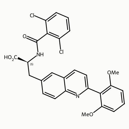 COc1cccc(OC)c1-c1ccc2cc(C[C@H](NC(=O)c3c(Cl)cccc3Cl)C(=O)O)ccc2n1